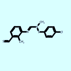 Cc1c(C=S)cccc1N=CN(C)Sc1ccc(Cl)cc1